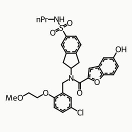 CCCNS(=O)(=O)c1ccc2c(c1)CC(N(Cc1cc(Cl)ccc1OCCOC)C(=O)c1cc3cc(O)ccc3o1)C2